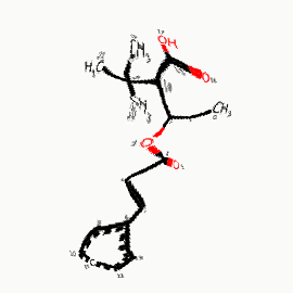 CCC(OC(=O)C=Cc1ccccc1)C(C(=O)O)C(C)(C)C